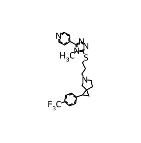 Cn1c(SCCCN2CCC3(CC3c3ccc(C(F)(F)F)cc3)C2)nnc1-c1ccncc1